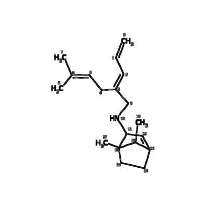 C=C/C=C(\CC=C(C)C)CNC1C=C2CCC1(C)C2C